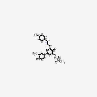 Cc1cc(-c2cc(COS(C)(=O)=O)c(=O)n(C/C=C/c3ccc(Cl)cc3)n2)ccc1F